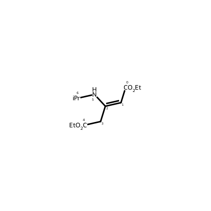 CCOC(=O)C=C(CC(=O)OCC)NC(C)C